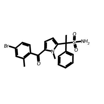 Cc1cc(Br)ccc1C(=O)c1ccc(C(C)(c2ccccc2)S(N)(=O)=O)n1C